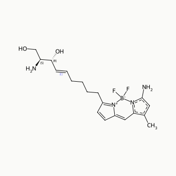 Cc1cc(N)n2c1C=C1C=CC(CCCC/C=C/[C@@H](O)[C@@H](N)CO)=[N+]1[B-]2(F)F